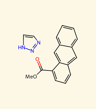 COC(=O)c1cccc2cc3ccccc3cc12.c1c[nH]nn1